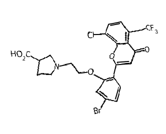 O=C(O)C1CCN(CCOc2cc(Br)ccc2-c2cc(=O)c3c(C(F)(F)F)ccc(Cl)c3o2)C1